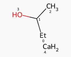 CCC(C)O.[CaH2]